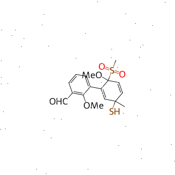 COc1c(C=O)cccc1C1=CC(C)(S)C=CC1(OC)S(C)(=O)=O